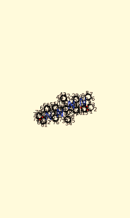 C1=CCCC(c2ccccc2N(c2ccccc2)c2cccc3c2c2cccc4c5c(-c6ccccc6)c6c(c(-c7ccccc7)c5n3c24)c2cccc3c4c(N(c5ccccc5)c5ccccc5-c5ccccc5)cccc4n6c32)=C1